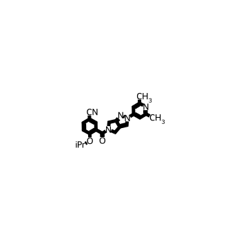 Cc1cc(-n2cc3c(n2)CN(C(=O)c2cc(C#N)ccc2OC(C)C)C3)cc(C)n1